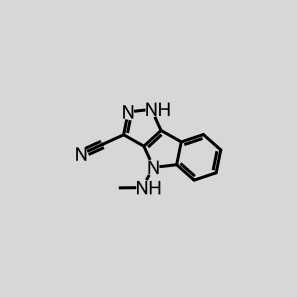 CNn1c2ccccc2c2[nH]nc(C#N)c21